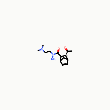 CC(=O)[C@H]1C2C=CC(C2)C1C(=O)N(N)CCN(C)C